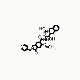 CCOc1cc2c(cc1C(=O)NC[C@@H](O)C1Cc3ccccc3CN1C(=O)O)CN(Cc1ccncc1)C2=O